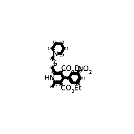 CCOC(=O)C1=C(C)NC(CSCN2CCCCC2)=C(C(=O)OCC)C1c1cccc([N+](=O)[O-])c1